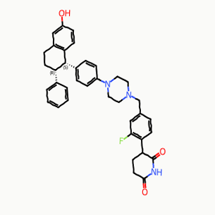 O=C1CCC(c2ccc(CN3CCN(c4ccc([C@H]5c6ccc(O)cc6CC[C@H]5c5ccccc5)cc4)CC3)cc2F)C(=O)N1